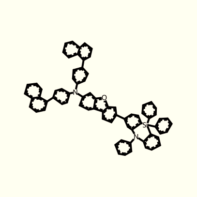 c1ccc(N2c3ccccc3[Si](c3ccccc3)(c3ccccc3)c3ccc(-c4ccc5c(c4)oc4cc(N(c6ccc(-c7cccc8ccccc78)cc6)c6ccc(-c7cccc8ccccc78)cc6)ccc45)cc32)cc1